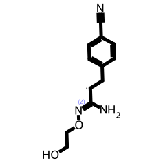 N#Cc1ccc(C[CH]/C(N)=N/OCCO)cc1